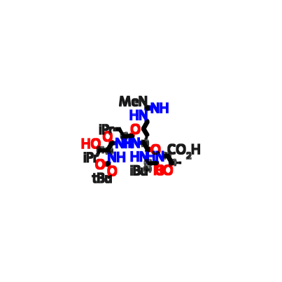 CC[C@H](C)[C@H](NC(=O)[C@@H](CCCNC(=N)NC)NC(=O)[C@H](CC(C)C)NC(=O)[C@@H](NC(=O)OC(C)(C)C)[C@H](O)C(C)C)C(=O)N[C@H](C(=O)O)[C@H](C)O